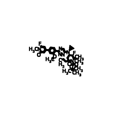 CCC[C@@]1(C)C[C@H](N(c2cnc(-c3ccc(-c4cc(F)n(C)c(=O)c4)cc3OC)nn2)C2CC2)[C@H](F)C(C)(C)N1C(=O)OC(C)(C)C